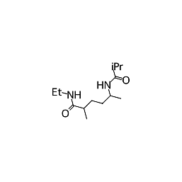 CCNC(=O)C(C)CCC(C)NC(=O)C(C)C